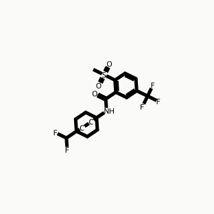 CS(=O)(=O)c1ccc(C(F)(F)F)cc1C(=O)NC12CCC(C(F)F)(CC1)CC2